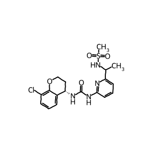 CC(NS(C)(=O)=O)c1cccc(NC(=O)N[C@H]2CCOc3c(Cl)cccc32)n1